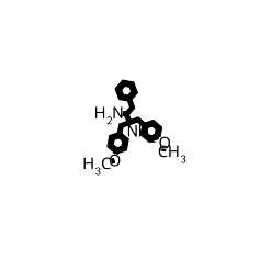 COc1ccc(CC(N)(Cc2ccc(OC)cc2)C(N)Cc2ccccc2)cc1